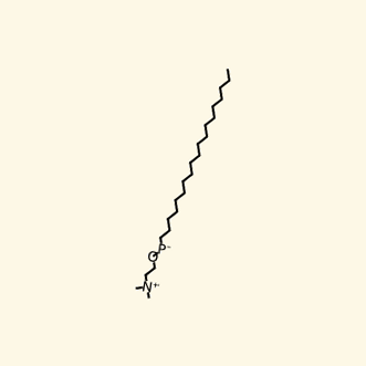 CCCCCCCCCCCCCCCCCCC[P-]OCC[N+](C)(C)C